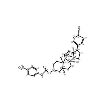 C[C@]12CC[C@H](OC(=O)Oc3ccc([N+](=O)[O-])cc3)C[C@H]1CC[C@@H]1C2CC[C@]2(C)[C@@H](c3ccc(=O)oc3)CC[C@]12O